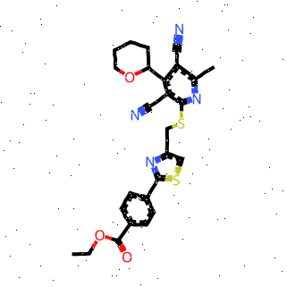 CCOC(=O)c1ccc(-c2nc(CSc3nc(C)c(C#N)c(C4CCCCO4)c3C#N)cs2)cc1